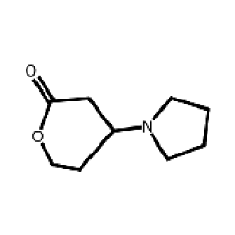 O=C1CC(N2CCCC2)CCO1